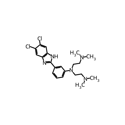 CN(C)CCN(CCN(C)C)c1cccc(-c2nc3cc(Cl)c(Cl)cc3[nH]2)c1